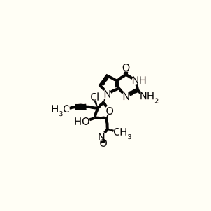 CC#C[C@@]1(Cl)C(O)[C@@H]([C@@H](C)N=O)O[C@H]1n1ccc2c(=O)[nH]c(N)nc21